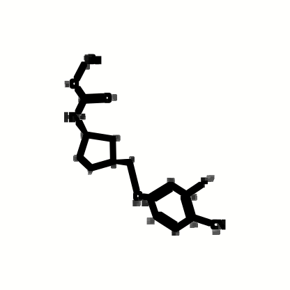 CC(C)(C)OC(=O)N[C@@H]1CC[C@H](COc2ccc(C#N)c(F)c2)C1